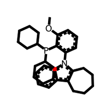 COc1cccc(-n2c3c(c4ccccc42)CCCCC3)c1P(C1CCCCC1)C1CCCCC1